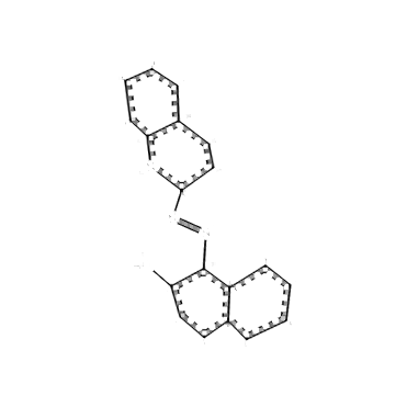 Oc1ccc2ccccc2c1N=Nc1ccc2ccccc2n1